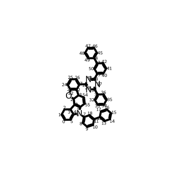 C1=CCC2C(=C1)N(c1cccc(-c3ccccc3)c1)C1=C2C2Oc3cccc(-c4nc(-c5ccccc5)nc(-c5cccc(-c6ccccc6)c5)n4)c3C2C=C1